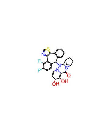 O=C1C2=C(O)C(O)C=CN2N(C2c3ccccc3-c3scnc3-c3c2ccc(F)c3F)C2C3CCC(C3)N12